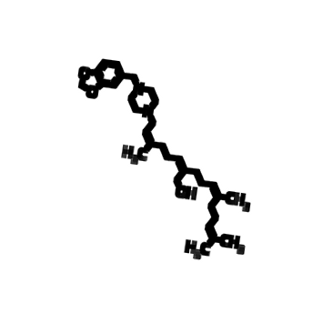 CC(C)=CCCC(C)=CCCC(=CCCC(C)=CCN1CCN(Cc2ccc3c(c2)OCO3)CC1)CO